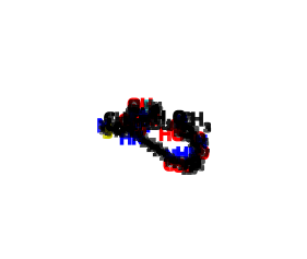 Cc1ncsc1-c1ccc([C@H](CC(=O)NCCCCCCCCNC(=O)COc2ccc3c(c2)[C@H](NC(=O)c2cc(-c4ccc(C(=O)N(C)C)c(O)c4)on2)CC3)NC(=O)[C@@H]2C[C@@H](O)CN2C(=O)[C@@H](NC(=O)C2(F)CC2)C(C)(C)C)cc1